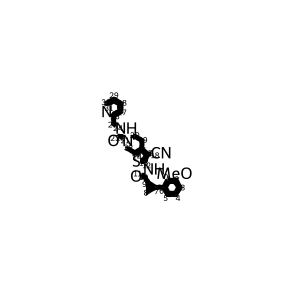 COc1ccccc1C1CC1C(=O)Nc1sc2c(c1C#N)CCN(C(=O)NCc1ccccn1)C2